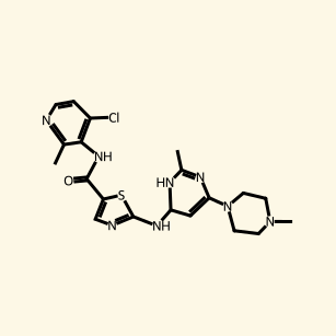 CC1=NC(N2CCN(C)CC2)=CC(Nc2ncc(C(=O)Nc3c(Cl)ccnc3C)s2)N1